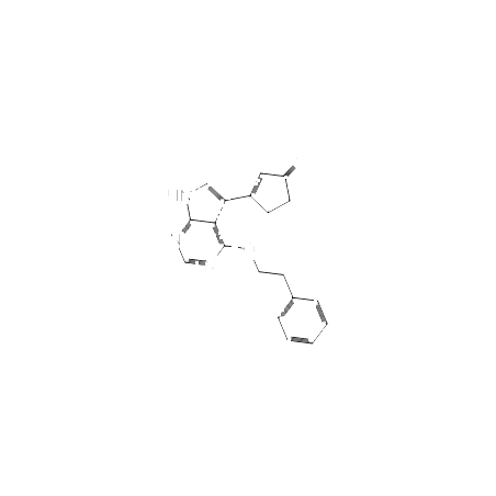 O=C1C=C(c2c[nH]c3ncnc(OCCc4ccccc4)c23)CC1